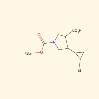 CCC1CC1C1CN(C(=O)OC(C)(C)C)CC1C(=O)O